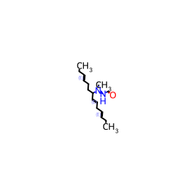 CC/C=C/C/C=C/C(CC/C=C/CC)N(C)NC=O